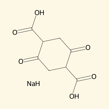 O=C(O)C1CC(=O)C(C(=O)O)CC1=O.[NaH]